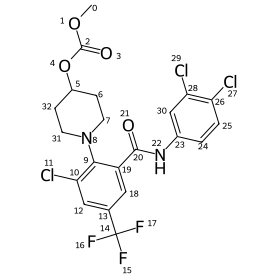 COC(=O)OC1CCN(c2c(Cl)cc(C(F)(F)F)cc2C(=O)Nc2ccc(Cl)c(Cl)c2)CC1